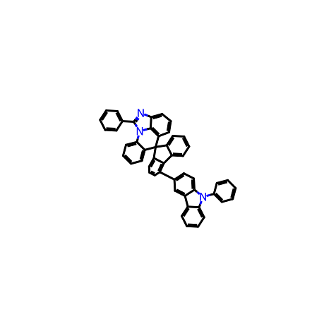 c1ccc(-c2nc3cccc4c3n2-c2ccccc2C42c3ccccc3-c3c(-c4ccc5c(c4)c4ccccc4n5-c4ccccc4)cccc32)cc1